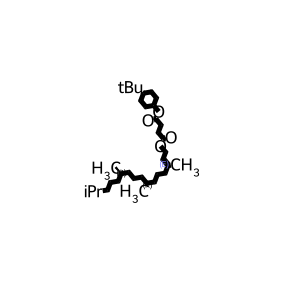 C/C(=C\COC(=O)CCC(=O)OC1CCC(C(C)(C)C)CC1)CCC[C@H](C)CCC[C@H](C)CCCC(C)C